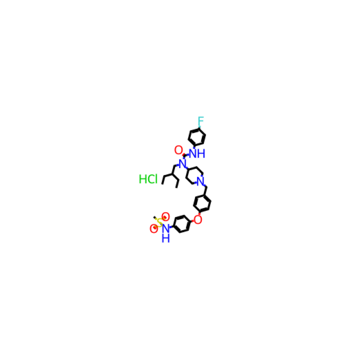 CCC(CC)CN(C(=O)Nc1ccc(F)cc1)C1CCN(Cc2ccc(Oc3ccc(NS(C)(=O)=O)cc3)cc2)CC1.Cl